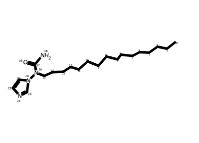 CCCCCCCCCCCCCCCCN(C(N)=O)n1ccnc1